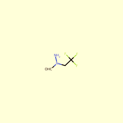 NN(C=O)CC(F)(F)F